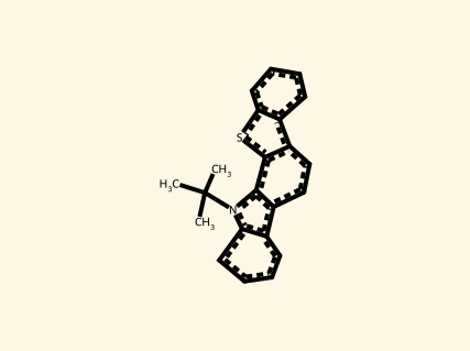 CC(C)(C)n1c2ccccc2c2ccc3c4ccccc4sc3c21